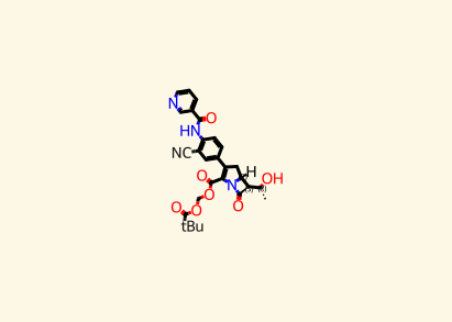 C[C@@H](O)[C@H]1C(=O)N2C(C(=O)OCOC(=O)C(C)(C)C)=C(c3ccc(NC(=O)c4cccnc4)c(C#N)c3)C[C@H]12